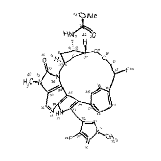 COC(=O)N[C@H]1C[C@H]2C[C@H]1OCCC(F)c1ccc(cc1)-c1c(-c3cn(C)nc3F)[nH]c3ncc4c(c13)n2c(=O)n4C